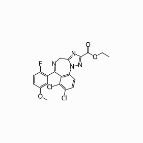 CCOC(=O)c1nc2n(n1)-c1ccc(Cl)c(Cl)c1C(c1cc(OC)ccc1F)=NC2